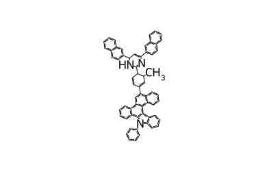 CC1C=C(c2cc3c4ccccc4c4c(c5ccccc5n4-c4ccccc4)c3c3ccccc23)C=CC1C1=NC(c2ccc3ccccc3c2)=CC(c2ccc3ccccc3c2)N1